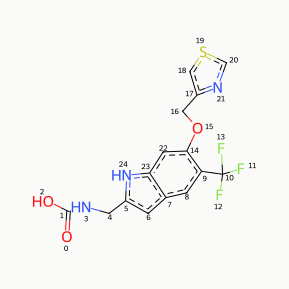 O=C(O)NCc1cc2cc(C(F)(F)F)c(OCc3cscn3)cc2[nH]1